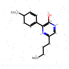 CCOC(=O)C1C=CC(c2nc(CCCOC)cnc2O)=CC1